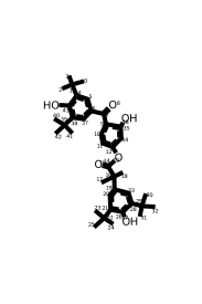 CC(C)(C)c1cc(C(=O)c2ccc(OC(=O)C(C)(C)c3cc(C(C)(C)C)c(O)c(C(C)(C)C)c3)cc2O)cc(C(C)(C)C)c1O